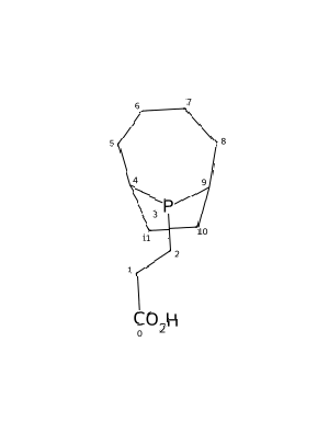 O=C(O)CCP1C2CCCCC1CC2